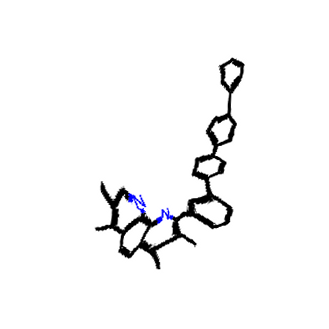 Cc1cnc2c(ccc3c(C)c(C)c(-c4cccc(-c5ccc(-c6ccc(-c7ccccc7)cc6)cc5)c4)nc32)c1C